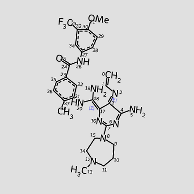 C=C/N=C1/C(N)=NC(N2CCCN(C)CC2)=N/C1=C(/N)Nc1cc(C(=O)Nc2ccc(OC)c(C(F)(F)F)c2)ccc1C